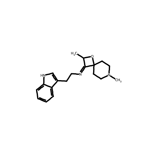 CC1OC2(CCN(C)CC2)/C1=N/CCc1c[nH]c2ccccc12